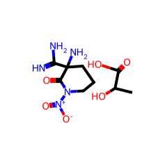 CC(O)C(=O)O.N=C(N)C1(N)CCCN([N+](=O)[O-])C1=O